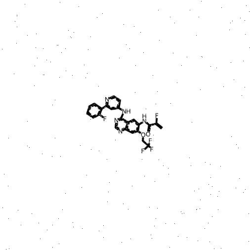 C=C(F)C(=O)Nc1cc2c(Nc3ccnc(-c4ccccc4F)c3)ncnc2cc1OCC(F)(F)F